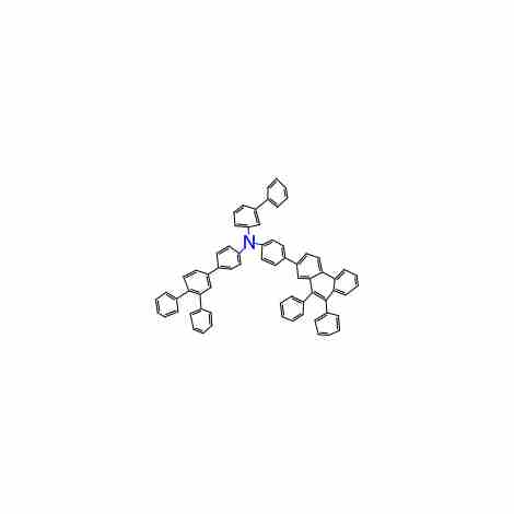 c1ccc(-c2cccc(N(c3ccc(-c4ccc(-c5ccccc5)c(-c5ccccc5)c4)cc3)c3ccc(-c4ccc5c(c4)c(-c4ccccc4)c(-c4ccccc4)c4ccccc45)cc3)c2)cc1